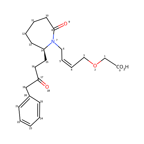 O=C(O)COC/C=C\CN1C(=O)CCCC[C@@H]1CCC(=O)Cc1ccccc1